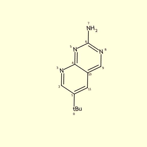 CC(C)(C)c1cnc2nc(N)ncc2c1